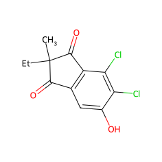 CCC1(C)C(=O)c2cc(O)c(Cl)c(Cl)c2C1=O